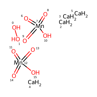 OO.[CaH2].[CaH2].[CaH2].[CaH2].[O]=[Mn](=[O])(=[O])[OH].[O]=[Mn](=[O])(=[O])[OH]